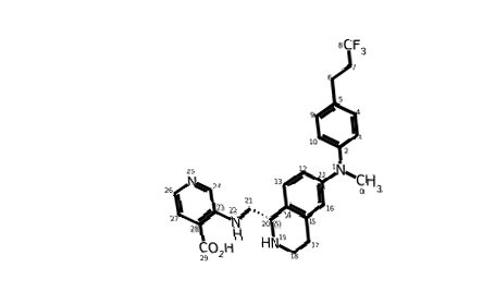 CN(c1ccc(CCC(F)(F)F)cc1)c1ccc2c(c1)CCN[C@@H]2CNc1cnccc1C(=O)O